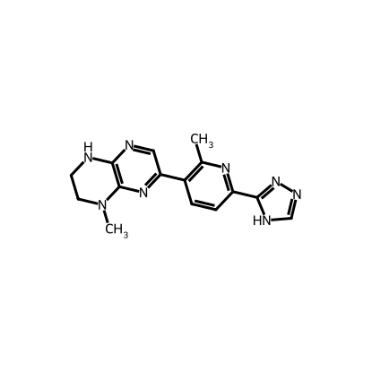 Cc1nc(-c2nnc[nH]2)ccc1-c1cnc2c(n1)N(C)CCN2